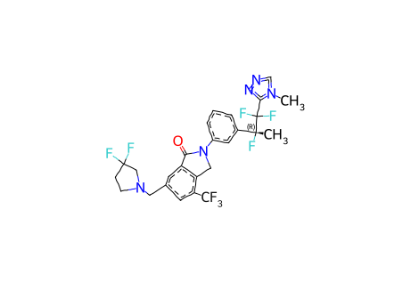 Cn1cnnc1C(F)(F)[C@](C)(F)c1cccc(N2Cc3c(cc(CN4CCC(F)(F)C4)cc3C(F)(F)F)C2=O)c1